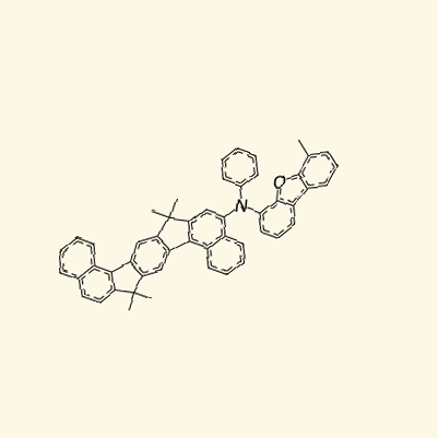 Cc1cccc2c1oc1c(N(c3ccccc3)c3cc4c(c5ccccc35)-c3cc5c(cc3C4(C)C)-c3c(ccc4ccccc34)C5(C)C)cccc12